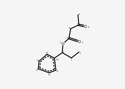 CCC(OC(=O)CC(C)=O)c1ccccc1